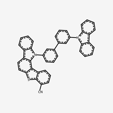 N#Cc1cccc2c1sc1ccc3c4ccccc4n(-c4cccc(-c5cccc(-n6c7ccccc7c7ccccc76)c5)c4)c3c12